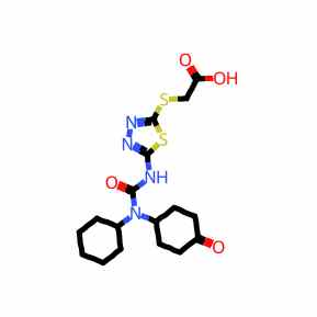 O=C(O)CSc1nnc(NC(=O)N(C2CCCCC2)C2CCC(=O)CC2)s1